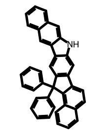 c1ccc(C2(c3ccccc3)c3cc4c(cc3-c3ccc5ccccc5c32)[nH]c2cc3ccccc3cc24)cc1